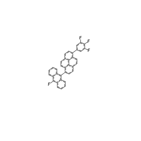 Fc1cc(-c2ccc3ccc4c(-c5c6ccccc6c(F)c6ccccc56)ccc5ccc2c3c54)cc(F)c1F